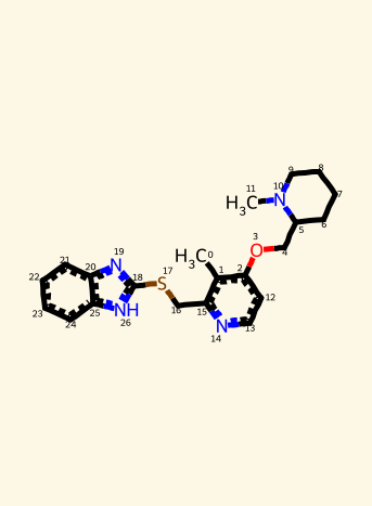 Cc1c(OCC2CCCCN2C)ccnc1CSc1nc2ccccc2[nH]1